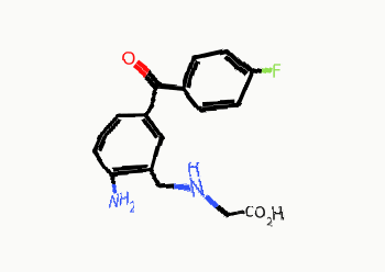 Nc1ccc(C(=O)c2ccc(F)cc2)cc1CNCC(=O)O